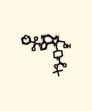 CC(C)(C)OC(=O)N1CCC(n2c(CO)nc3cnc4c(ccn4S(=O)(=O)c4ccccc4)c32)CC1